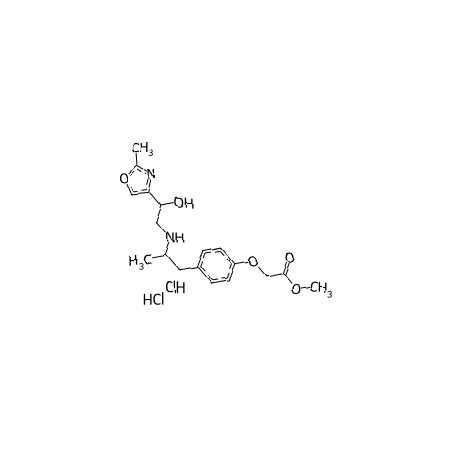 COC(=O)COc1ccc(CC(C)NCC(O)c2coc(C)n2)cc1.Cl.Cl